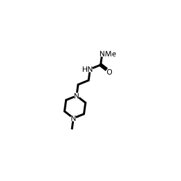 CNC(=O)NCCN1CCN(C)CC1